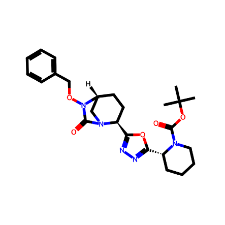 CC(C)(C)OC(=O)N1CCCC[C@@H]1c1nnc([C@@H]2CC[C@@H]3CN2C(=O)N3OCc2ccccc2)o1